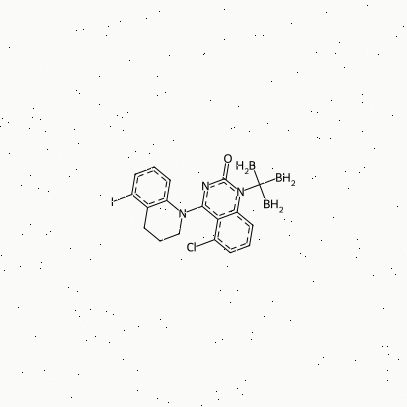 BC(B)(B)n1c(=O)nc(N2CCCc3c(I)cccc32)c2c(Cl)cccc21